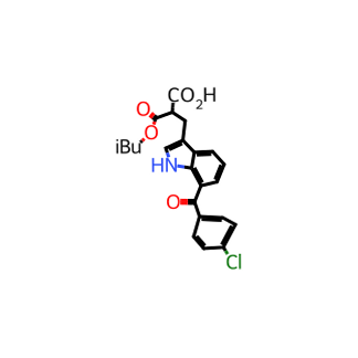 CCC(C)OC(=O)C(Cc1c[nH]c2c(C(=O)c3ccc(Cl)cc3)cccc12)C(=O)O